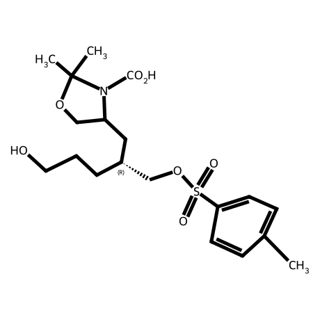 Cc1ccc(S(=O)(=O)OC[C@H](CCCO)CC2COC(C)(C)N2C(=O)O)cc1